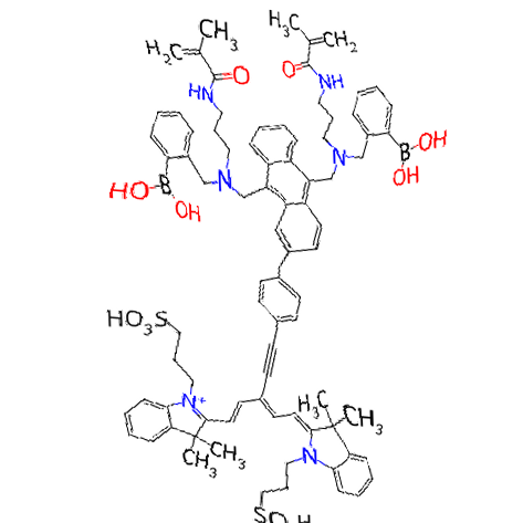 C=C(C)C(=O)NCCCN(Cc1ccccc1B(O)O)Cc1c2ccccc2c(CN(CCCNC(=O)C(=C)C)Cc2ccccc2B(O)O)c2cc(-c3ccc(C#CC(=C\C=C4/N(CCCS(=O)(=O)O)c5ccccc5C4(C)C)/C=C/C4=[N+](CCCS(=O)(=O)O)c5ccccc5C4(C)C)cc3)ccc12